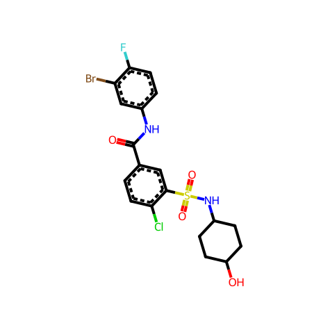 O=C(Nc1ccc(F)c(Br)c1)c1ccc(Cl)c(S(=O)(=O)NC2CCC(O)CC2)c1